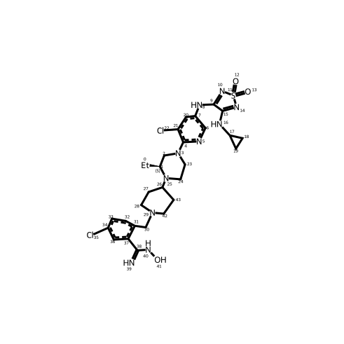 CC[C@H]1CN(c2ncc(NC3=NS(=O)(=O)N=C3NC3CC3)cc2Cl)CCN1C1CCN(Cc2ccc(Cl)cc2C(=N)NO)CC1